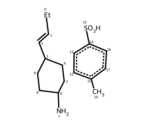 CC/C=C/C1CCC(N)CC1.Cc1ccc(S(=O)(=O)O)cc1